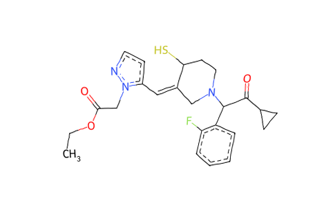 CCOC(=O)Cn1nccc1C=C1CN(C(C(=O)C2CC2)c2ccccc2F)CCC1S